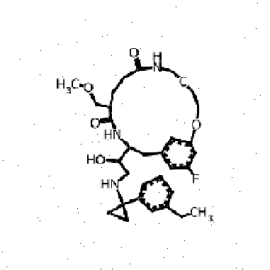 CCc1cccc(C2(NCC(O)C3Cc4cc(F)cc(c4)OCCCCNC(=O)CCC(COC)C(=O)N3)CC2)c1